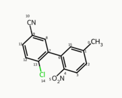 Cc1[c]cc([N+](=O)[O-])c(-c2cc(C#N)ccc2Cl)c1